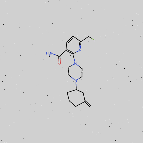 C=C1CCCC(N2CCN(c3nc(CF)ccc3C(N)=O)CC2)C1